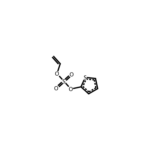 C=COS(=O)(=O)Oc1cccs1